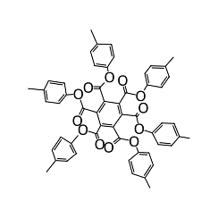 Cc1ccc(OC(=O)c2c(C(=O)Oc3ccc(C)cc3)c(C(=O)Oc3ccc(C)cc3)c(C(=O)Oc3ccc(C)cc3)c(C(=O)Oc3ccc(C)cc3)c2C(=O)Oc2ccc(C)cc2)cc1